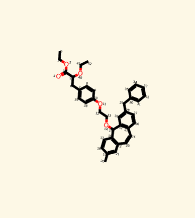 CCOC(=O)C(Cc1ccc(OCCOC2c3ccc(C)cc3C=Cc3ccc(Cc4ccccc4)cc32)cc1)OCC